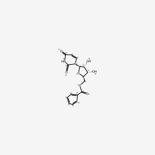 O=C(OC[C@H]1O[C@@H](n2ccc(=O)[nH]c2=O)[C@H](O)[C@@H]1O)c1ccccc1